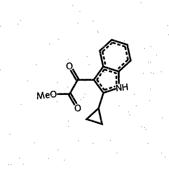 COC(=O)C(=O)c1c(C2CC2)[nH]c2ccccc12